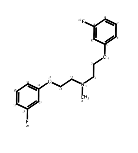 CN(CCOc1cccc(F)c1)CCOc1cccc(F)c1